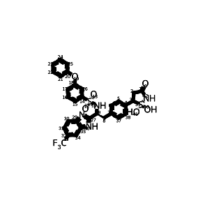 O=C1CC(c2ccc(C[C@H](NS(=O)(=O)c3cccc(Oc4ccccc4)c3)c3nc4ccc(C(F)(F)F)cc4[nH]3)cc2)S(O)(O)N1